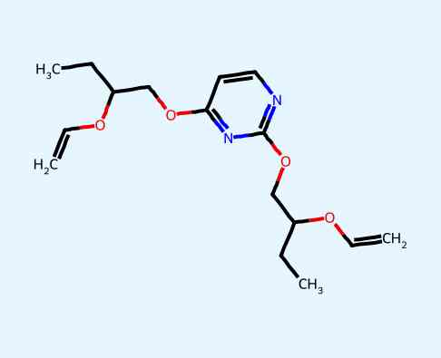 C=COC(CC)COc1ccnc(OCC(CC)OC=C)n1